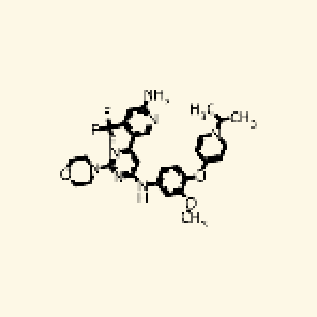 COc1cc(Nc2cc(-c3cnc(N)cc3C(F)(F)F)nc(N3CCOCC3)n2)ccc1OC1=CCN(C(C)C)C=C1